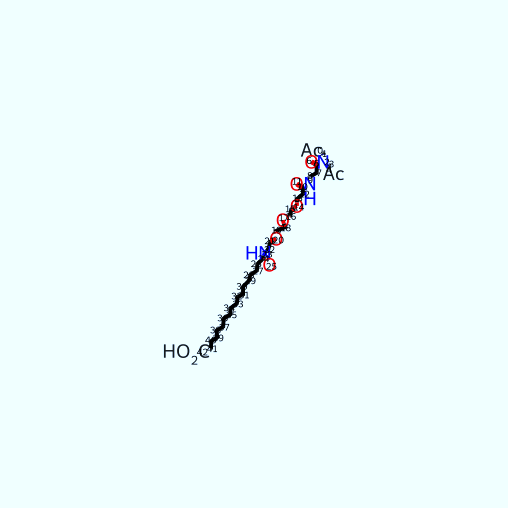 CC(=O)CN(CC(C)=O)C(=O)CCNC(=O)CCOCCOCCOCCNC(=O)CCCCCCCCCCCCCCCCC(=O)O